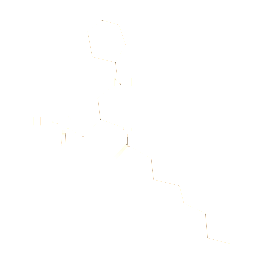 CCCCCCCC(=O)OC(CNC1CCCCC1)CS(=O)(=O)O